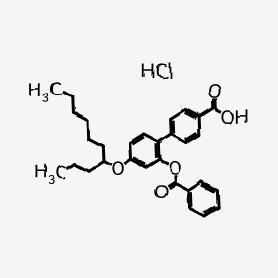 CCCCCCC(CCC)Oc1ccc(-c2ccc(C(=O)O)cc2)c(OC(=O)c2ccccc2)c1.Cl